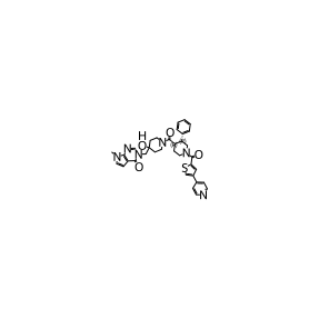 Cn1ccc2c(=O)n(CC3(O)CCN(C(=O)[C@@H]4CCN(C(=O)c5cc(-c6ccncc6)cs5)C[C@H]4c4ccccc4)CC3)cnc21